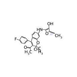 C/C=C1\OC(Nc2ccc3c(c2)OC(C)(C)C(C(C)=O)=C3c2ccc(F)cc2)=C1O